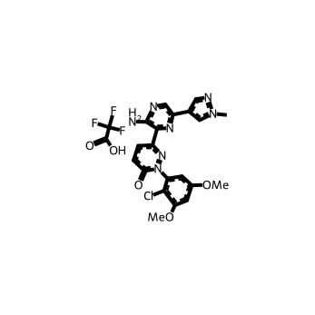 COc1cc(OC)c(Cl)c(-n2nc(-c3nc(-c4cnn(C)c4)cnc3N)ccc2=O)c1.O=C(O)C(F)(F)F